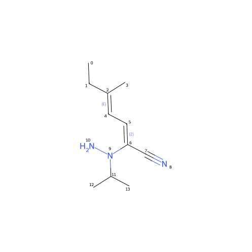 CC/C(C)=C/C=C(/C#N)N(N)C(C)C